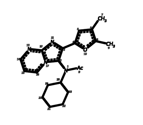 CC(=O)N(c1c(-c2cc(C)c(C)o2)nc2ncccn12)C1CCCCC1